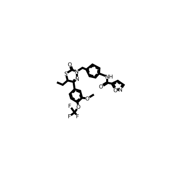 CCC1SC(=O)N(Cc2ccc(NC(=O)c3ccno3)cc2)N=C1c1ccc(OC(F)(F)F)c(OC)c1